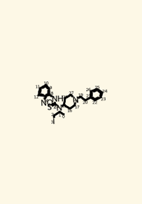 CC(CI)N(C(=S)Nc1ccccc1[N+](=O)[O-])C1CCN(CCc2ccccc2)CC1